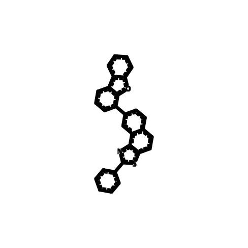 c1ccc(-c2nc3c(ccc4ccc(-c5cccc6c5oc5ccccc56)cc43)s2)cc1